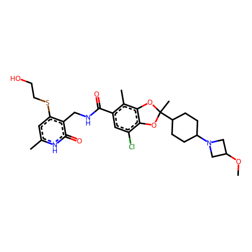 COC1CN(C2CCC(C3(C)Oc4c(Cl)cc(C(=O)NCc5c(SCCO)cc(C)[nH]c5=O)c(C)c4O3)CC2)C1